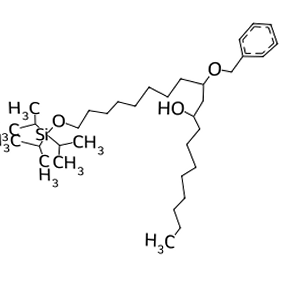 CCCCCCCCC(O)CC(CCCCCCCCO[Si](C(C)C)(C(C)C)C(C)C)OCc1ccccc1